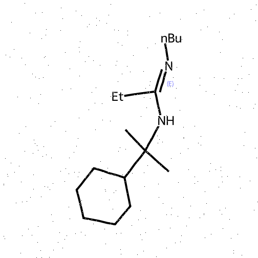 CCCC/N=C(\CC)NC(C)(C)C1CCCCC1